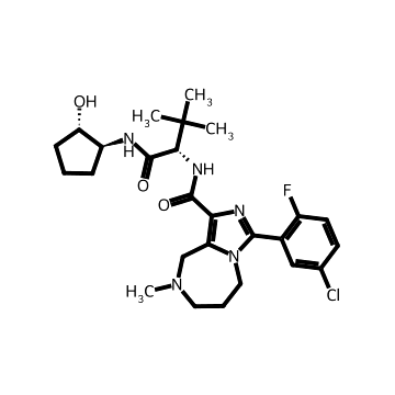 CN1CCCn2c(-c3cc(Cl)ccc3F)nc(C(=O)N[C@H](C(=O)N[C@H]3CCC[C@@H]3O)C(C)(C)C)c2C1